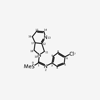 CS/C(=N/c1ccc(Cl)cc1)N1CC2=NC=CCC2C1